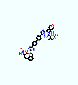 COC(=O)N[C@H]1CCc2cccc3c2N(C1=O)[C@H](c1ncc(-c2ccc(-c4ccc(-c5cnc([C@@H]6CC7(CCOCC7)CN6C(=O)[C@@H](NC(=O)OC)C(C)C)[nH]5)cc4)cc2)[nH]1)C3